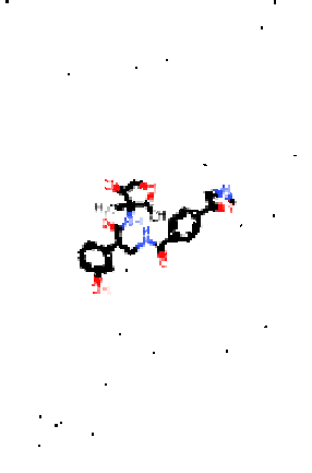 CC1OCC(=O)C1(C)NC(=O)C(CNC(=O)c1ccc(-c2cnco2)cc1)c1cccc(O)c1